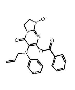 C=CCN(c1ccccc1)c1c(OC(=O)c2ccccc2)nc2n(c1=O)CC[S+]2[O-]